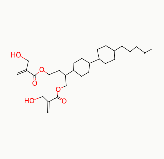 C=C(CO)C(=O)OCCC(COC(=O)C(=C)CO)C1CCC(C2CCC(CCCCC)CC2)CC1